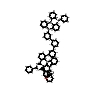 c1ccc(-c2nc(-c3ccccc3)nc(-c3cccc(-c4cccc(-c5cccc(-c6cccc(N7c8ccccc8B8c9ccccc9N(c9ccccc9)c9cccc7c98)c6)c5)c4)c3-n3c4ccccc4c4c5oc6ccccc6c5ccc43)n2)cc1